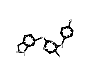 Fc1cnc(Nc2ccc3c(c2)NNC3)nc1Nc1ccc(Cl)cc1